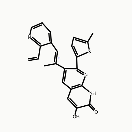 C=Cc1ncccc1/C=C(\C)c1cc2cc(O)c(=O)[nH]c2nc1-c1ccc(C)s1